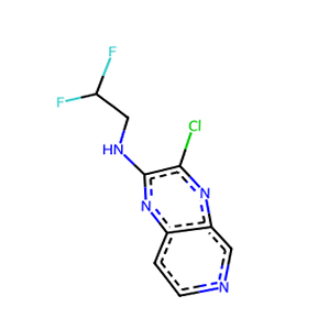 FC(F)CNc1nc2ccncc2nc1Cl